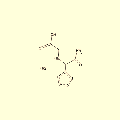 Cl.NC(=O)C(NCC(=O)O)c1cccs1